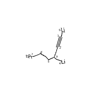 [Li][C]#C[CH]([Li])CCCCC